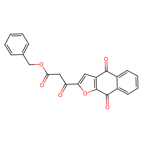 O=C(CC(=O)c1cc2c(o1)C(=O)c1ccccc1C2=O)OCc1ccccc1